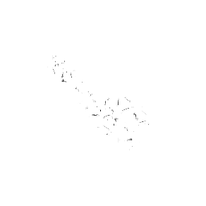 CN(Cc1cc(O)ccc1-c1cccc(-n2c(=O)n(C3CCC(NCC4=C[N+]5CN(F)C=CC5=N4)CC3)c(=O)c3cc(F)cnc32)c1)CC1(O)CC1